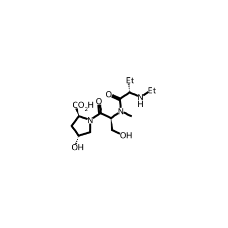 CCN[C@@H](CC)C(=O)N(C)[C@@H](CO)C(=O)N1C[C@H](O)C[C@H]1C(=O)O